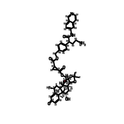 CC1(C)O[C@@H]2C[C@H]3[C@@H]4C[C@H](F)C5=CC(=O)C=C[C@]5(C)[C@@]4(F)[C@@H](O)C[C@]3(C)[C@]2(C(=O)COC(=O)C2CC2C(=O)OCc2ccc(C(CCN)C(=O)Nc3ccc4cnccc4c3)cc2)O1